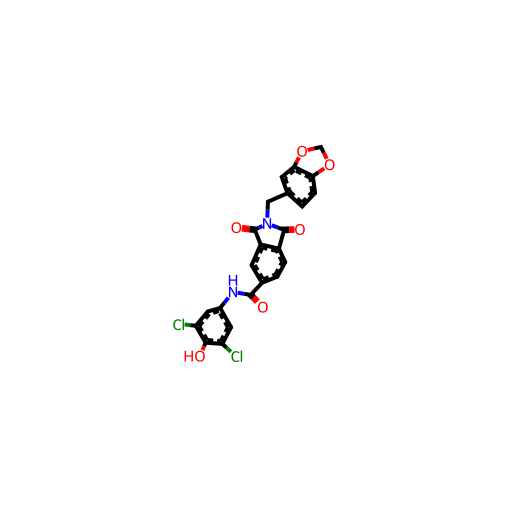 O=C(Nc1cc(Cl)c(O)c(Cl)c1)c1ccc2c(c1)C(=O)N(Cc1ccc3c(c1)OCO3)C2=O